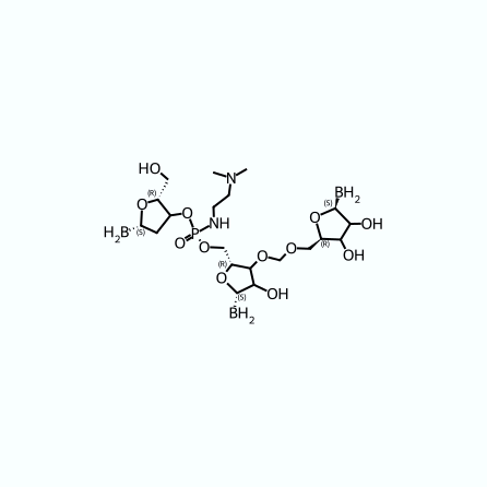 B[C@@H]1O[C@H](COCOC2C(O)[C@H](B)O[C@@H]2COP(=O)(NCCN(C)C)OC2C[C@H](B)O[C@@H]2CO)C(O)C1O